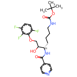 CC(C)(C)OC(=O)NCCCC[C@H](NC(=O)c1ccncc1)C(O)COc1c(F)ccc(F)c1F